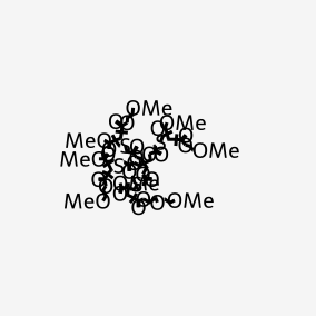 COCCOCCOC(=O)C(C)(C)CC(C)(CSCC(=O)OCC(COC(=O)CSCC(C)(CC(C)(C)C(=O)OCCOC)C(=O)OC)(COC(=O)CSCC(C)(CC(C)(C)C(=O)OCCOC)C(=O)OC)COC(=O)CSCC(C)(CC(C)(C)C(=O)OCCOC)C(=O)OC)C(=O)OC